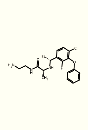 CC[C@@H](N[C@@H](C)C(=O)NCCN)c1ccc(Cl)c(Oc2ccccc2)c1F